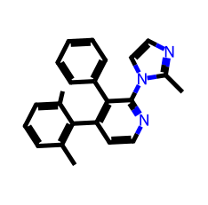 Cc1cccc(C)c1-c1ccnc(-n2ccnc2C)c1-c1ccccc1